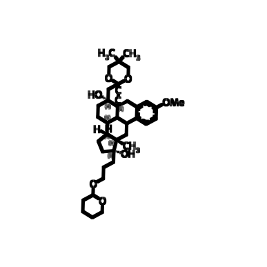 COc1ccc2c(c1)C[C@]13CCC4(C[C@]1(O)CC[C@@H]1C3C2C[C@@]2(C)[C@@H]1CC[C@]2(O)CCCOC1CCCCO1)OCC(C)(C)CO4